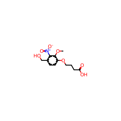 COc1c(OCCCC(=O)O)ccc(CO)c1[N+](=O)[O-]